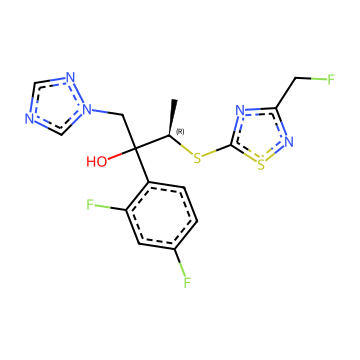 C[C@@H](Sc1nc(CF)ns1)C(O)(Cn1cncn1)c1ccc(F)cc1F